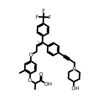 Cc1cc(OC/C=C(\c2ccc(C#CCN3CCC(O)CC3)cc2)c2ccc(C(F)(F)F)cc2)ccc1OC(C)C(=O)O